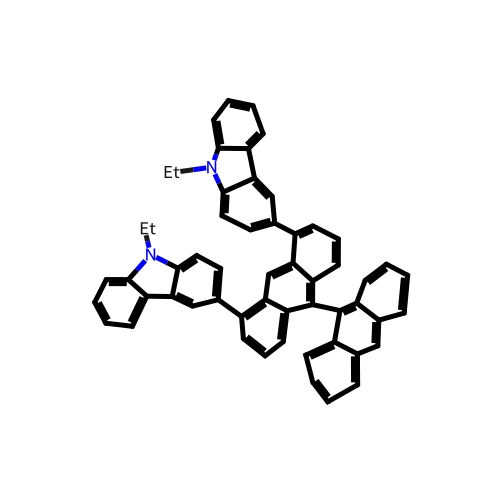 CCn1c2ccccc2c2cc(-c3cccc4c(-c5c6ccccc6cc6ccccc56)c5cccc(-c6ccc7c(c6)c6ccccc6n7CC)c5cc34)ccc21